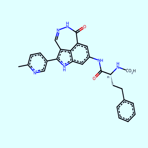 Cc1ccc(-c2[nH]c3cc(NC(=O)[C@@H](CCc4ccccc4)NC(=O)O)cc4c3c2C=NNC4=O)cn1